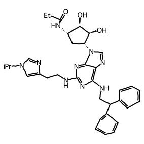 CCC(=O)N[C@H]1C[C@@H](n2cnc3c(NCC(c4ccccc4)c4ccccc4)nc(NCCc4cn(C(C)C)cn4)nc32)[C@H](O)[C@@H]1O